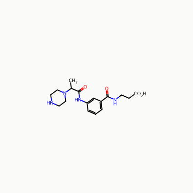 CC(C(=O)Nc1cccc(C(=O)NCCC(=O)O)c1)N1CCNCC1